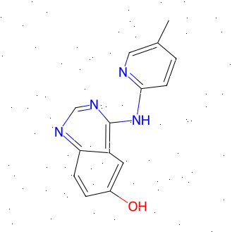 Cc1ccc(Nc2ncnc3ccc(O)cc23)nc1